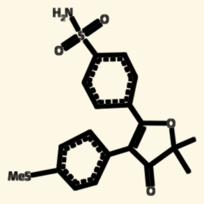 CSc1ccc(C2=C(c3ccc(S(N)(=O)=O)cc3)OC(C)(C)C2=O)cc1